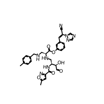 Cc1ccc(CNC[C@H](NC[C@H](NC(=O)c2cc(C)on2)[C@@H](O)C=O)C(=O)Oc2cccc(C=C(C#N)n3cncn3)c2)cc1